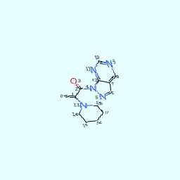 C=C(C(=O)n1ncc2cncnc21)N1CCCCC1